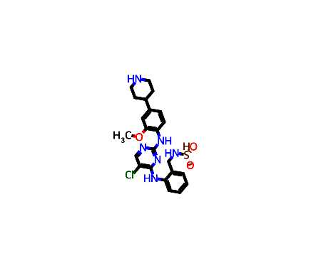 COc1cc(C2CCNCC2)ccc1Nc1ncc(Cl)c(Nc2ccccc2CN[SH](=O)=O)n1